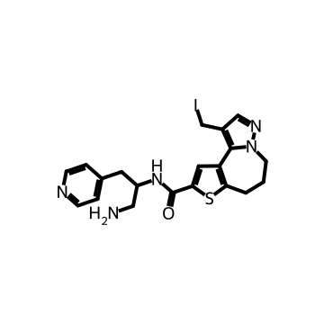 NCC(Cc1ccncc1)NC(=O)c1cc2c(s1)CCCn1ncc(CI)c1-2